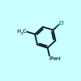 CCCC(C)c1cc(C)cc(Cl)c1